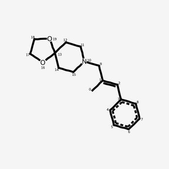 C/C(=C\c1ccccc1)CN1CCC2(CC1)OCCO2